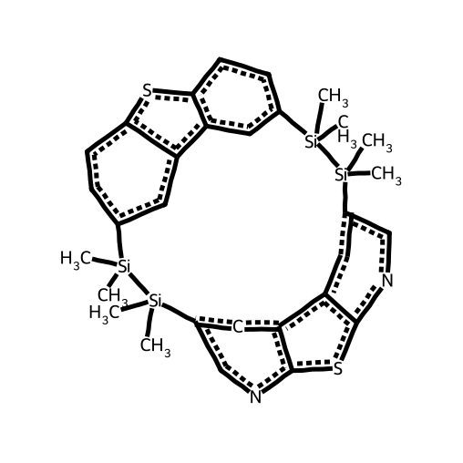 C[Si]1(C)c2ccc3sc4ccc(cc4c3c2)[Si](C)(C)[Si](C)(C)c2cnc3sc4ncc(cc4c3c2)[Si]1(C)C